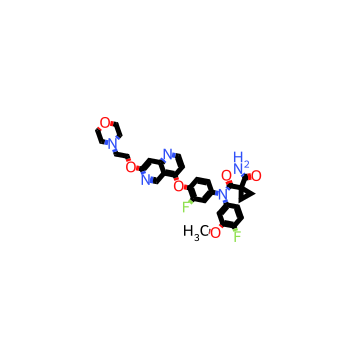 COc1cc(N(C(=O)C2(C(N)=O)CC2)c2ccc(Oc3ccnc4cc(OCCN5CCOCC5)ncc34)c(F)c2)ccc1F